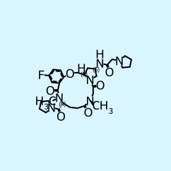 CN1CC(=O)N2C[C@@H](NC(=O)CN3CCCC3)C[C@H]2COc2ccc(F)cc2C(=O)N(C)[C@@H](C(=O)N2CCCC2)CCC1=O